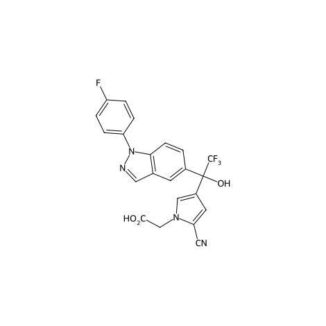 N#Cc1cc(C(O)(c2ccc3c(cnn3-c3ccc(F)cc3)c2)C(F)(F)F)cn1CC(=O)O